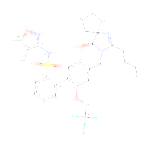 CCCCC1=NC2(CCCC2)C(=O)N1Cc1ccc(-c2ccccc2S(=O)(=O)Nc2noc(C)c2C)c(OCC(F)(F)F)c1